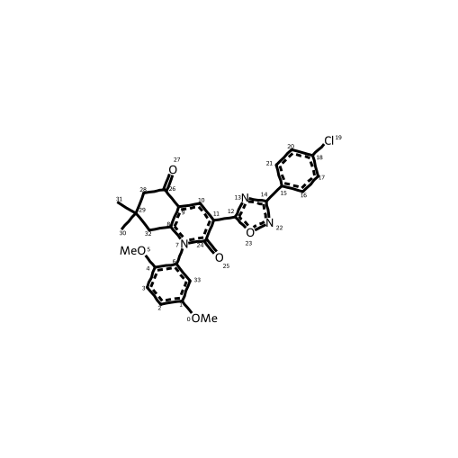 COc1ccc(OC)c(-n2c3c(cc(-c4nc(-c5ccc(Cl)cc5)no4)c2=O)C(=O)CC(C)(C)C3)c1